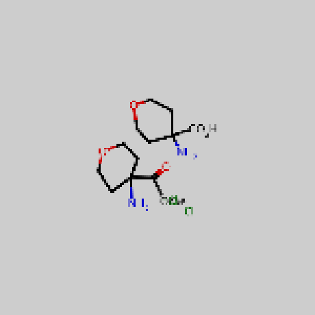 COC(=O)C1(N)CCOCC1.Cl.Cl.NC1(C(=O)O)CCOCC1